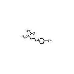 CC(C)C(=O)N(C)CCCN1CCC(C(C)C)CC1